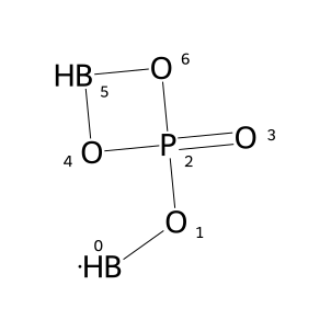 [BH]OP1(=O)OBO1